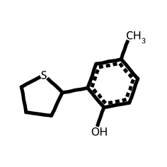 Cc1ccc(O)c(C2CCCS2)c1